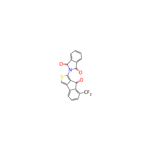 O=C1c2c(cccc2C(F)(F)F)-c2csc(N3C(=O)c4ccccc4C3=O)c21